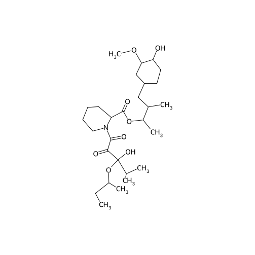 CCC(C)OC(O)(C(=O)C(=O)N1CCCCC1C(=O)OC(C)C(C)CC1CCC(O)C(OC)C1)C(C)C